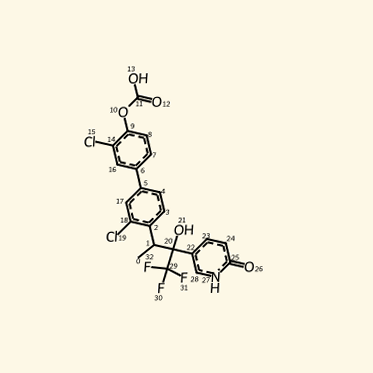 CC(c1ccc(-c2ccc(OC(=O)O)c(Cl)c2)cc1Cl)C(O)(c1ccc(=O)[nH]c1)C(F)(F)F